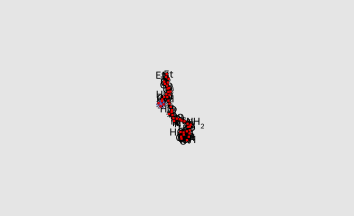 CCN(CC)c1ccc2cc(-c3nc4cc(C(=O)NC(CNC(=O)C5=C/C=C\C=C/C=C\5)C(=O)NCCCCCNC(=O)c5cccc(OCC(N=[N+]=[N-])OCC(=O)NCC#Cc6cn(C7CC(OCN=[N+]=[N-])C(COP(=O)(O)OP(=O)(O)OP(=O)(O)O)O7)c(=O)nc6N)c5)ccc4o3)c(=O)oc2c1